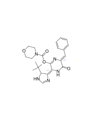 CC(C)(C)C1NC=N/C1=c1\[nH]c(=O)/c(=C/c2ccccc2)nc1OC(=O)N1CCOCC1